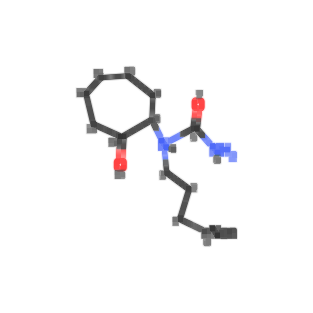 CCCCCCCCCCCCN(C(N)=O)C1CCCCCC1=O